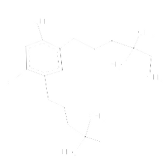 CCC(C)(C)CCCc1cc(CCCC(C)(C)I)c(C)cc1C